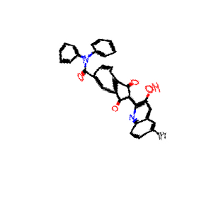 CC(C)c1ccc2nc(C3C(=O)c4ccc(C(=O)N(c5ccccc5)c5ccccc5)cc4C3=O)c(O)cc2c1